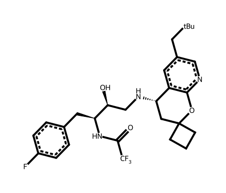 CC(C)(C)Cc1cnc2c(c1)[C@@H](NC[C@H](O)[C@H](Cc1ccc(F)cc1)NC(=O)C(F)(F)F)CC1(CCC1)O2